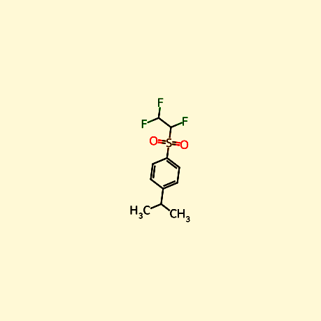 CC(C)c1ccc(S(=O)(=O)C(F)C(F)F)cc1